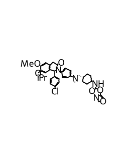 COc1cc2c(cc1OC(C)C)[C@H](c1ccc(Cl)cc1)N(c1ccc(N(C)C[C@H]3CC[C@H](NC(=O)Oc4cocn4)CC3)cc1)C(=O)C2